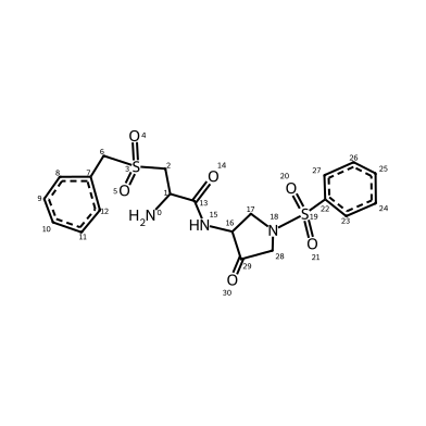 NC(CS(=O)(=O)Cc1ccccc1)C(=O)NC1CN(S(=O)(=O)c2ccccc2)CC1=O